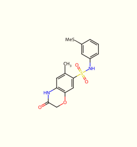 CSc1cccc(NS(=O)(=O)c2cc3c(cc2C)NC(=O)CO3)c1